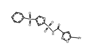 CC(C)c1cc(C(=O)NS(=O)(=O)c2cc(S(=O)(=O)c3ccccc3)cs2)no1